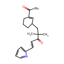 CC(C)(C)C(=O)C1=CC(CC(C)(C)C(=O)/C=C/c2ccccn2)CCC1